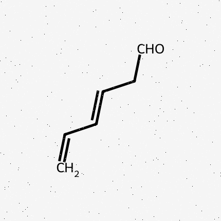 C=CC=CCC=O